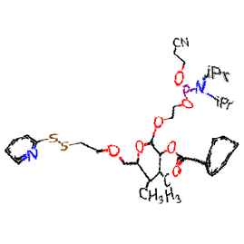 CC1C(COCCSSc2ccccn2)OC(OCCOP(OCCC#N)N(C(C)C)C(C)C)C(OC(=O)c2ccccc2)C1C